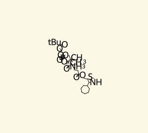 CC(C)(C)C(=O)OCO[P@@]1(=O)OCC(C)(C)[C@H](C(=O)NCCC(=O)OCC2SCNC2C2CCCCCC2)O1